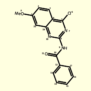 COc1ccc2c(Cl)nc(NC(=O)c3ccccc3)nc2c1